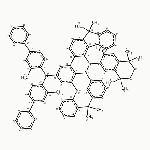 Cc1cc2c(cc1N1B3c4cccc5c4N(c4ccccc4C5(C)C)c4cc(N(c5ccc(-c6ccccc6)cc5C)c5ccc(-c6ccccc6)cc5C)cc(c43)-c3ccc4c(c31)-c1ccccc1C4(C)C)C(C)(C)CCC2(C)C